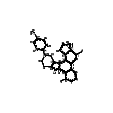 Cc1cc2c3cccc(C)c3n3nc4c(c3c2c2cc[nH]c12)CN(c1ncc(C(C)C)cn1)CC4